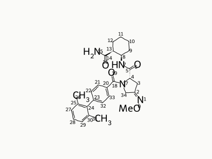 CON=C1C[C@@H](C(=O)N[C@@H]2CCCC[C@@H]2C(N)=O)N(C(=O)c2ccc(-c3c(C)cccc3C)cc2)C1